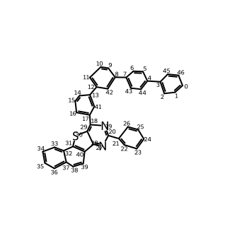 c1ccc(-c2ccc(-c3cccc(-c4cccc(-c5nc(-c6ccccc6)nc6c5sc5c7ccccc7ccc65)c4)c3)cc2)cc1